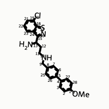 COc1ccc(-c2ccc(CNCCC(N)c3nsc4c(Cl)cccc34)cc2)cc1